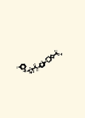 O=C(Nc1ccc(N2CCC3(CC2)CC(C(=O)O)C3)nc1)c1nnc(Nc2cccc(F)c2)o1